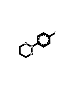 Fc1ccc(B2OCCCO2)cc1